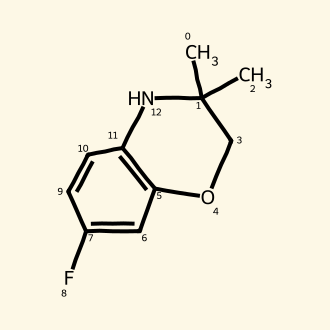 CC1(C)COc2cc(F)ccc2N1